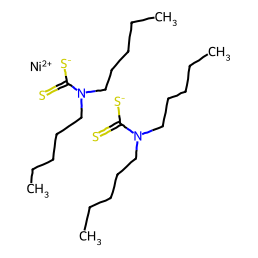 CCCCCN(CCCCC)C(=S)[S-].CCCCCN(CCCCC)C(=S)[S-].[Ni+2]